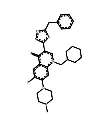 CN1CCN(c2cc3c(cc2F)c(=O)c(-c2noc(Cc4ccccc4)n2)cn3CC2CCCCC2)CC1